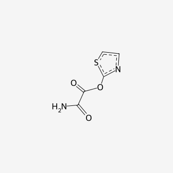 NC(=O)C(=O)Oc1nccs1